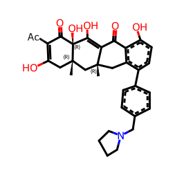 CC(=O)C1=C(O)C[C@@]2(C)C[C@@]3(C)Cc4c(-c5ccc(CN6CCCC6)cc5)ccc(O)c4C(=O)C3=C(O)[C@@]2(O)C1=O